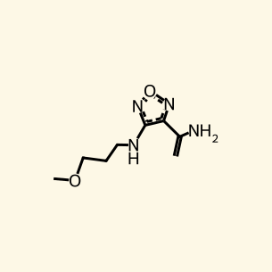 C=C(N)c1nonc1NCCCOC